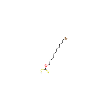 CSC(=S)OCCCCCCCCCCBr